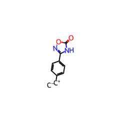 [CH2-][CH+]c1ccc(-c2noc(=O)[nH]2)cc1